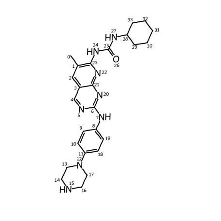 Cc1cc2cnc(Nc3ccc(N4CCNCC4)cc3)nc2nc1NC(=O)NC1CCCCC1